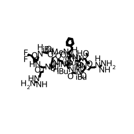 CC[C@H](C)[C@H](NC(=O)[C@@H](Cc1ccccc1)NC)C(=O)N[C@@H](CO)C(=O)N[C@H](CCCNC(=N)N)C(=O)N[C@@H](C(=O)N[C@H](C(=O)N[C@@H](CO)C(=O)N[C@H]1C(=O)N[C@@H](CCCNC(=N)N)C(=O)NC2(CC2CC(F)F)C(=O)N[C@@H]([C@@H](C)CC)C(=O)O[C@H]1C)[C@@H](C)CC)[C@@H](C)CC